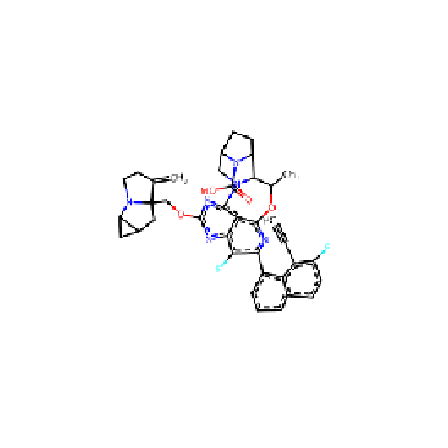 C#Cc1c(F)ccc2cccc(-c3nc4c5c(nc(OCC67CC8CC8N6CCC7=C)nc5c3F)N3CC5CCC(C3C(C)O4)N5C(=O)O)c12